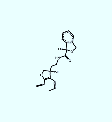 C=CC1=C(/C=C\C)[C@@](S)(CCNC(=O)[C@@]2(CC)OCc3ccccc32)CO1